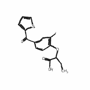 CCC(Oc1ccc(C(=O)c2cccs2)cc1I)C(=O)O